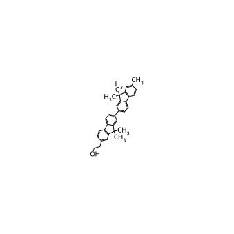 Cc1ccc2c(c1)C(C)(C)c1cc(-c3ccc4c(c3)C(C)(C)c3cc(CCO)ccc3-4)ccc1-2